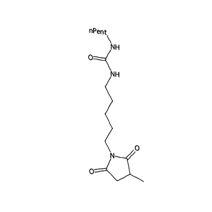 CCCCCNC(=O)NCCCCCN1C(=O)CC(C)C1=O